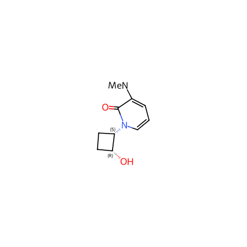 CNc1cccn([C@H]2CC[C@H]2O)c1=O